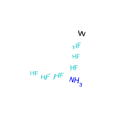 F.F.F.F.F.F.N.[W]